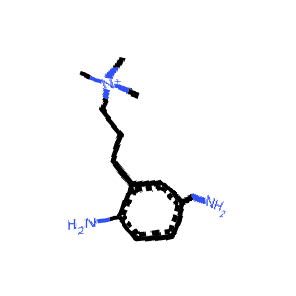 C[N+](C)(C)CCCc1cc(N)ccc1N